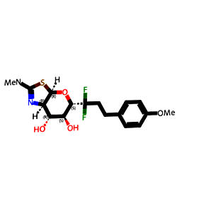 CNC1=N[C@@H]2[C@@H](O)[C@H](O)[C@@H](C(F)(F)CCc3ccc(OC)cc3)O[C@@H]2S1